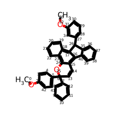 COc1ccc(C2(c3ccccc3)C=Cc3c4c(c5ccccc5c3O2)C(c2cccc(OC)c2)c2ccccc2-4)cc1